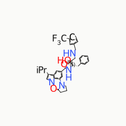 CC(C)c1cn(C)c2c(N3CCCC3=O)cc(C(=O)N[C@@H](Cc3ccccc3)[C@H](O)CNCc3cccc(C(F)(F)F)c3)cc12